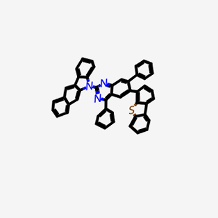 c1ccc(-c2cc3nc(-n4c5ccccc5c5cc6ccccc6cc54)nc(-c4ccccc4)c3cc2-c2cccc3c2sc2ccccc23)cc1